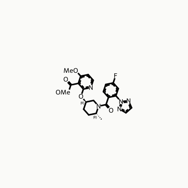 COC(=O)c1c(OC)ccnc1O[C@@H]1CC[C@@H](C)N(C(=O)c2ccc(F)cc2-n2nccn2)C1